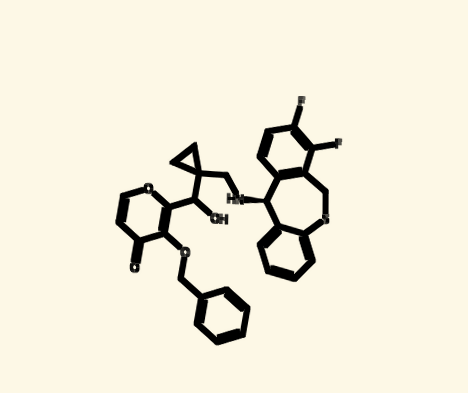 O=c1ccoc(C(O)C2(CN[C@@H]3c4ccccc4SCc4c3ccc(F)c4F)CC2)c1OCc1ccccc1